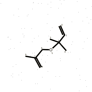 C=CC(C)(C)OCC(=C)C